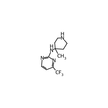 CC1(Nc2nccc(C(F)(F)F)n2)CCNCC1